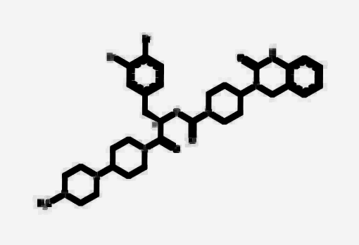 CN1CCN(C2CCN(C(=O)[C@@H](Cc3ccc(Br)c(Br)c3)OC(=O)N3CCC(N4Cc5ccccc5NC4=O)CC3)CC2)CC1